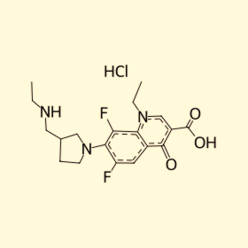 CCNCC1CCN(c2c(F)cc3c(=O)c(C(=O)O)cn(CC)c3c2F)C1.Cl